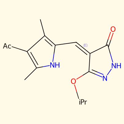 CC(=O)c1c(C)[nH]c(/C=C2/C(=O)NN=C2OC(C)C)c1C